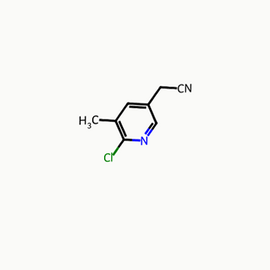 Cc1cc(CC#N)cnc1Cl